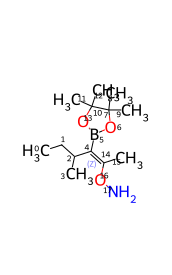 CCC(C)/C(B1OC(C)(C)C(C)(C)O1)=C(/C)ON